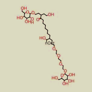 CCCCCCCCC(O)C(CCCCCCCC(=O)C(CCO)CCOC1OC(CO)C(O)C(O)C1O)CCCOCCOCCOCCOC1OC(CO)C(O)C(O)C1O